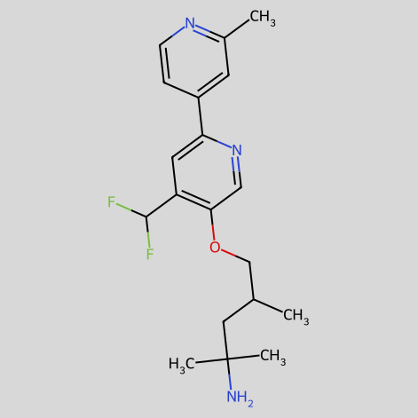 Cc1cc(-c2cc(C(F)F)c(OCC(C)CC(C)(C)N)cn2)ccn1